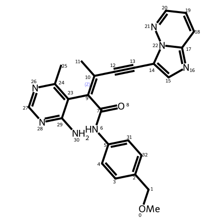 COCc1ccc(NC(=O)/C(=C(/C)C#Cc2cnc3cccnn23)c2c(C)ncnc2N)cc1